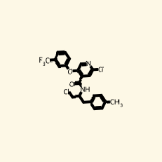 Cc1ccc(CC(CCl)NC(=O)c2cc(Cl)ncc2Oc2cccc(C(F)(F)F)c2)cc1